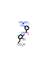 CCc1c(CCC(=O)O)cccc1CNC(=O)c1cccc(NC(=N)N)c1